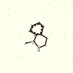 C[C@@H]1NCCc2ccccc21